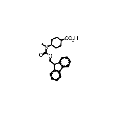 CN(C(=O)OCC1c2ccccc2-c2ccccc21)C1CCC(C(=O)O)CC1